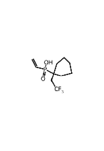 C=CP(=O)(O)C1(CC(F)(F)F)CCCCC1